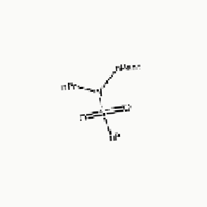 CCCCCN(CCC)S(=O)(=O)CCC